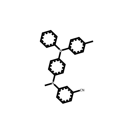 Cc1ccc(N(c2ccccc2)c2ccc(N(C)c3cccc(C#N)c3)cc2)cc1